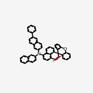 c1ccc(-c2ccc3cc(N(c4ccc5ccccc5c4)c4ccc5c6c(cccc46)C4(c6ccccc6Oc6ccccc64)c4ccccc4-5)ccc3c2)cc1